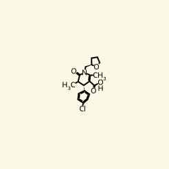 CC1=C(C(=O)O)[C@H](c2ccc(Cl)cc2)C(C)C(=O)N1C[C@H]1CCCO1